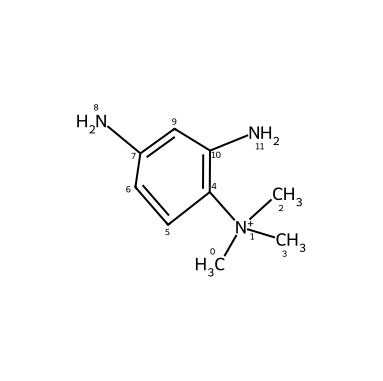 C[N+](C)(C)c1ccc(N)cc1N